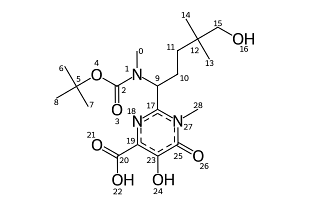 CN(C(=O)OC(C)(C)C)C(CCC(C)(C)CO)c1nc(C(=O)O)c(O)c(=O)n1C